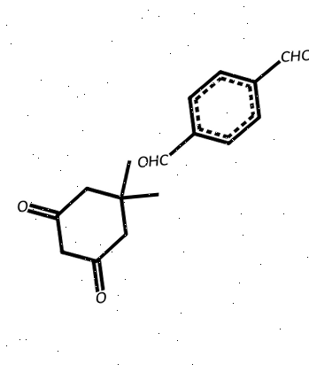 CC1(C)CC(=O)CC(=O)C1.O=Cc1ccc(C=O)cc1